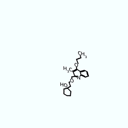 CCCCOc1c(C)c(COCCC2(O)CCCCC2)nc2ccccc12